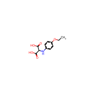 CCOc1ccc(NC(C(=O)O)C(=O)O)cc1